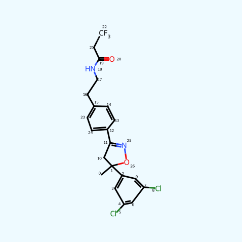 CC1(c2cc(Cl)cc(Cl)c2)CC(c2ccc(CCNC(=O)CC(F)(F)F)cc2)=NO1